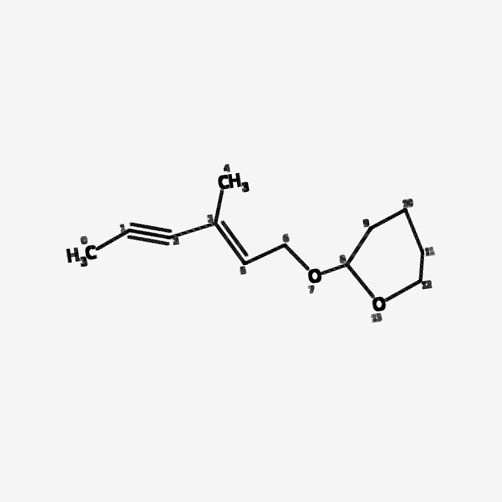 CC#C/C(C)=C/COC1CCCCO1